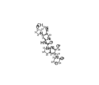 CO[C@H]1CCN(c2cc(NC(=O)N3CCCc4cc(CN5CCOCC5=O)c(C=O)nc43)ncc2C#N)C1